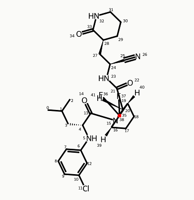 CC(C)C[C@@H](Nc1cccc(Cl)c1)C(=O)N1[C@H]2CC[C@@H]([C@H]1C(=O)N[C@H](C#N)C[C@@H]1CCCNC1=O)C(F)(F)C2